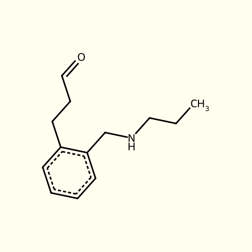 CCCNCc1ccccc1CCC=O